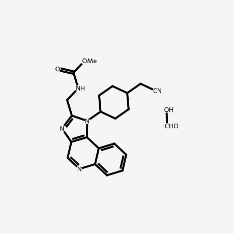 COC(=O)NCc1nc2cnc3ccccc3c2n1C1CCC(CC#N)CC1.O=CO